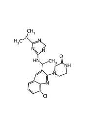 CC(Nc1ncnc(N(C)C)n1)c1cc2cccc(Cl)c2nc1N1CCNC(=O)C1